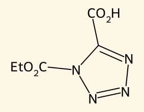 CCOC(=O)n1nnnc1C(=O)O